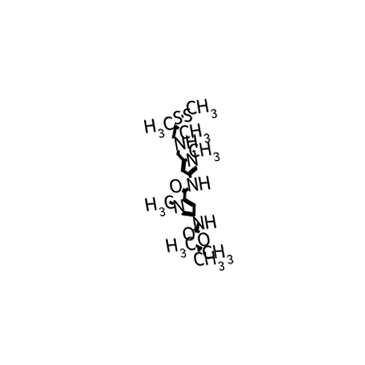 CSSC(C)(C)CNCc1cc(NC(=O)c2cc(NC(=O)OC(C)(C)C)cn2C)cn1C